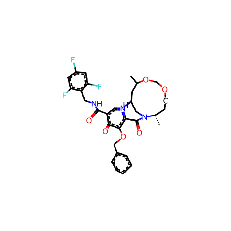 CC1C[C@H]2CN(C(=O)c3c(OCc4ccccc4)c(=O)c(C(=O)NCc4c(F)cc(F)cc4F)cn32)[C@@H](C)CCOCO1